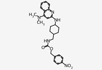 CN(C)c1cc(NC2CCC(CNC(=O)OCc3ccc([N+](=O)[O-])cc3)CC2)nc2ccccc12